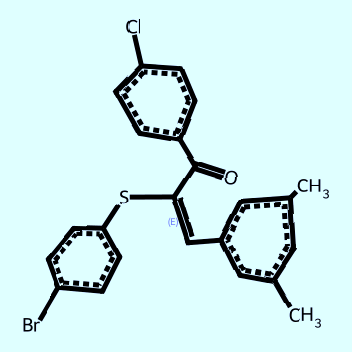 Cc1cc(C)cc(/C=C(/Sc2ccc(Br)cc2)C(=O)c2ccc(Cl)cc2)c1